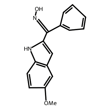 COc1ccc2[nH]c(/C(=N/O)c3ccccc3)cc2c1